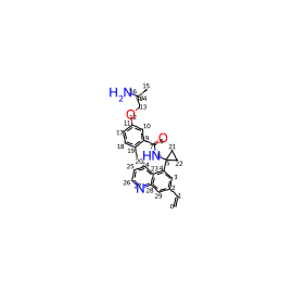 C=Cc1cc(C2(NC(=O)c3cc(OC[C@H](C)N)ccc3C)CC2)c2cccnc2c1